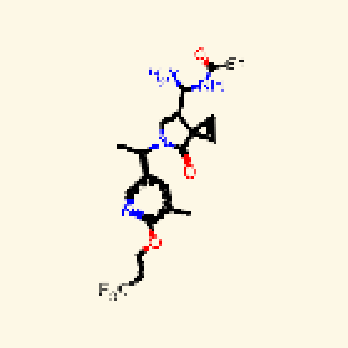 CCC(=O)NC(N)C1CN(C(C)c2cnc(OCCC(F)(F)F)c(C)c2)C(=O)C12C=C2